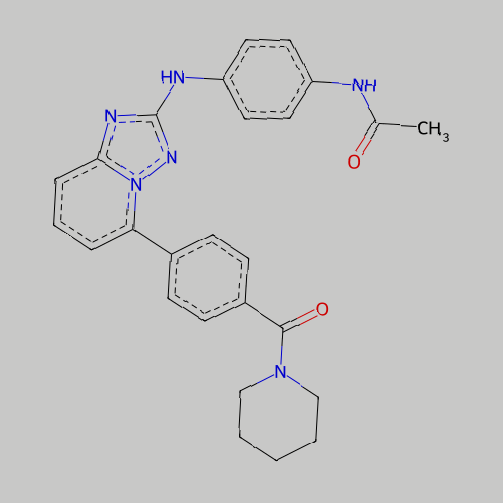 CC(=O)Nc1ccc(Nc2nc3cccc(-c4ccc(C(=O)N5CCCCC5)cc4)n3n2)cc1